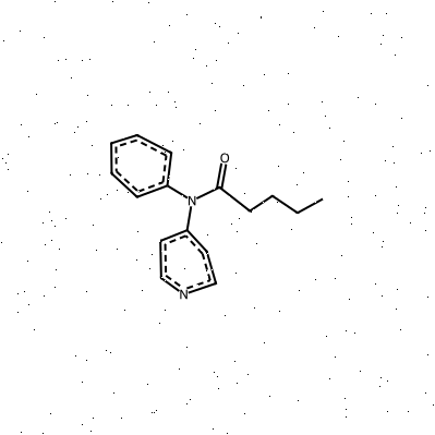 CCCCC(=O)N(c1ccccc1)c1ccncc1